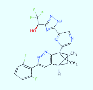 CC1(C)[C@H]2CC[C@]1(c1cncc(-c3nc([C@@H](O)C(F)(F)F)n[nH]3)n1)c1nnc(-c3c(F)cccc3F)cc12